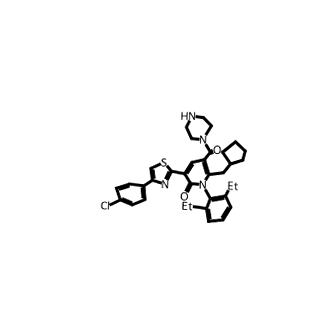 CCc1cccc(CC)c1-n1c(CC2CCCC2)c(C(=O)N2CCNCC2)cc(-c2nc(-c3ccc(Cl)cc3)cs2)c1=O